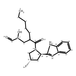 CCCCCC(CN(O)C=O)C(=O)N1C[C@@H](F)C[C@@H]1c1nc2ccccc2[nH]1